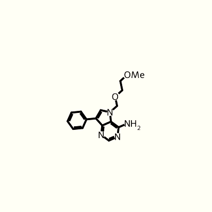 COCCOCn1cc(-c2ccccc2)c2ncnc(N)c21